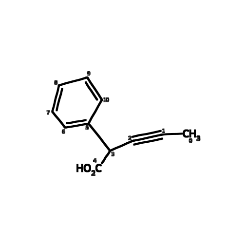 CC#CC(C(=O)O)c1ccccc1